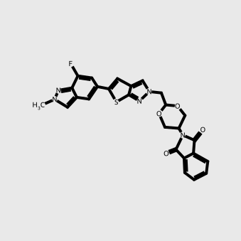 Cn1cc2cc(-c3cc4cn(CC5OCC(N6C(=O)c7ccccc7C6=O)CO5)nc4s3)cc(F)c2n1